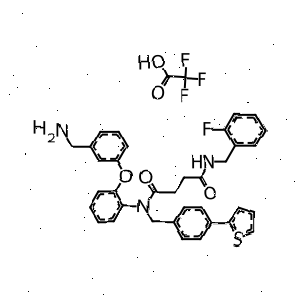 NCc1cccc(Oc2ccccc2N(Cc2ccc(-c3cccs3)cc2)C(=O)CCC(=O)NCc2ccccc2F)c1.O=C(O)C(F)(F)F